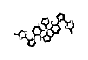 CC1COC(c2cccn2-c2ccc(F)[c]([Ti]([C]3=CC=CC3)([C]3=CC=CC3)[c]3c(F)ccc(-n4cccc4C4OCC(C)O4)c3F)c2F)O1